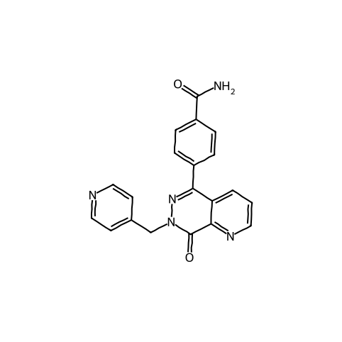 NC(=O)c1ccc(-c2nn(Cc3ccncc3)c(=O)c3ncccc23)cc1